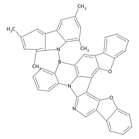 Cc1cc(C)c2c(c1)c1cc(C)cc(C)c1n2B1c2ccccc2-n2c3ncc4c5ccccc5oc4c3c3c4oc5ccccc5c4cc1c32